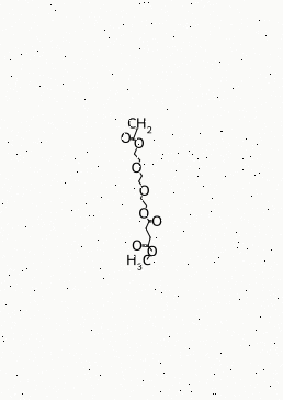 C=CC(=O)OCCOCCOCCOC(=O)CCC(=O)OC